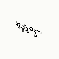 NCCCN(CCCN)Cc1ccc(-c2c[nH]c(NC(=O)Nc3ccc(F)c(F)c3)nc2=O)cc1